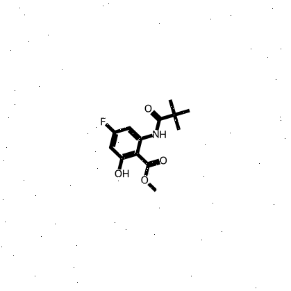 COC(=O)c1c(O)cc(F)cc1NC(=O)C(C)(C)C